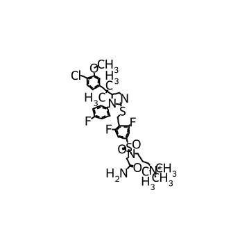 COc1cc(C(C)(C)C2CN=C(SCc3c(F)cc(S(=O)(=O)N(CCC[N+](C)(C)C)CC(N)=O)cc3F)N2c2ccc(F)cc2)ccc1Cl